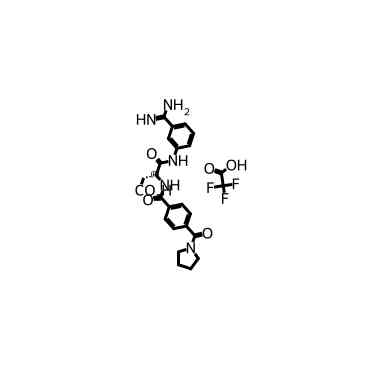 N=C(N)c1cccc(NC(=O)[C@@H](CC(=O)O)NC(=O)c2ccc(C(=O)N3CCCC3)cc2)c1.O=C(O)C(F)(F)F